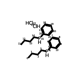 CCCCPc1ccccc1.CCCCPc1ccccc1.Cl.Cl